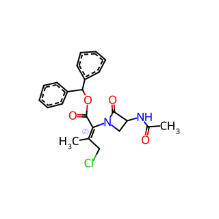 CC(=O)NC1CN(/C(C(=O)OC(c2ccccc2)c2ccccc2)=C(/C)CCl)C1=O